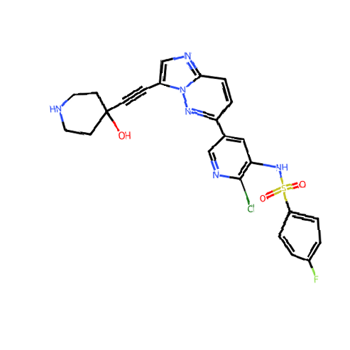 O=S(=O)(Nc1cc(-c2ccc3ncc(C#CC4(O)CCNCC4)n3n2)cnc1Cl)c1ccc(F)cc1